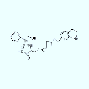 O=C(O)C(CCO[C@H]1C[C@@H](CCc2ccc3c(n2)NCCC3)C1)NC(=O)[C@@H](CO)c1ccccc1